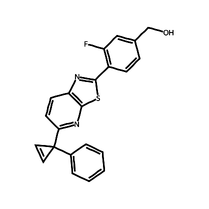 OCc1ccc(-c2nc3ccc(C4(c5ccccc5)C=C4)nc3s2)c(F)c1